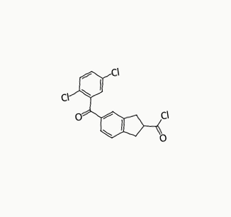 O=C(c1ccc2c(c1)CC(C(=O)Cl)C2)c1cc(Cl)ccc1Cl